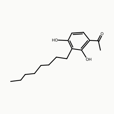 CCCCCCCCc1c(O)ccc(C(C)=O)c1O